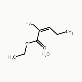 CCC=C(C)C(=O)OCC.O